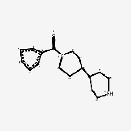 O=C(c1ccccc1)N1CCC(C2CCNCC2)CC1